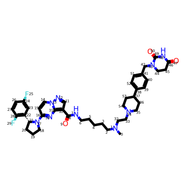 CN(CCCCCNC(=O)c1cnn2ccc(N3CCC[C@@H]3c3cc(F)ccc3F)nc12)CCN1CCC(c2ccc(CN3CCC(=O)NC3=O)cc2)CC1